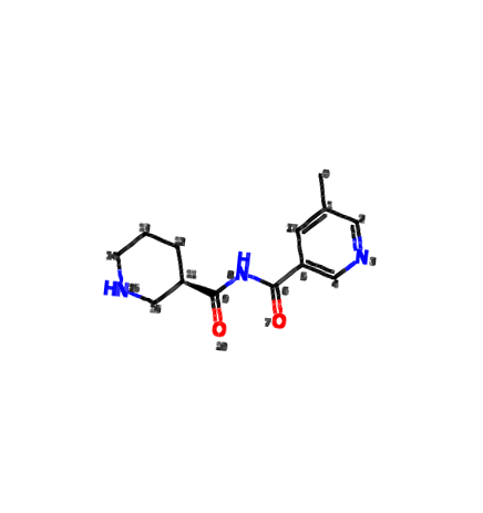 Cc1cncc(C(=O)NC(=O)[C@@H]2CCCNC2)c1